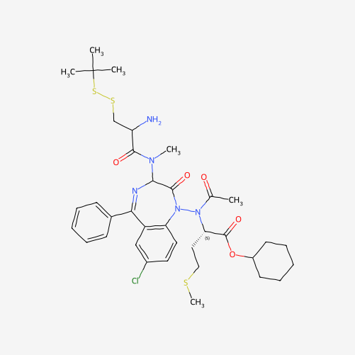 CSCC[C@@H](C(=O)OC1CCCCC1)N(C(C)=O)N1C(=O)C(N(C)C(=O)C(N)CSSC(C)(C)C)N=C(c2ccccc2)c2cc(Cl)ccc21